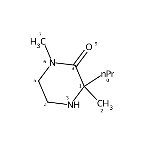 CCCC1(C)NCCN(C)C1=O